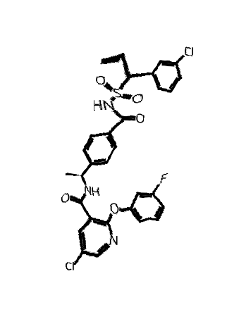 C=CC(c1cccc(Cl)c1)S(=O)(=O)NC(=O)c1ccc([C@H](C)NC(=O)c2cc(Cl)cnc2Oc2cccc(F)c2)cc1